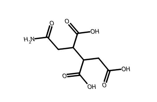 NC(=O)CC(C(=O)O)C(CC(=O)O)C(=O)O